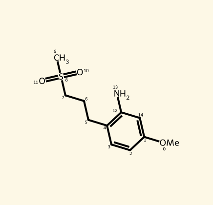 COc1ccc(CCCS(C)(=O)=O)c(N)c1